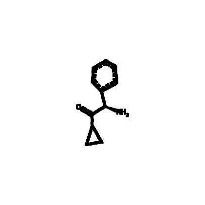 N[C@@H](C(=O)C1CC1)c1ccccc1